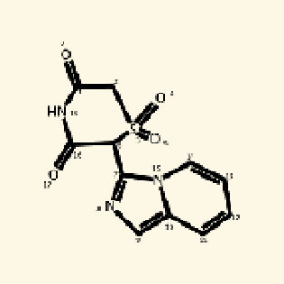 O=C1CS(=O)(=O)C(c2ncc3ccccn23)C(=O)N1